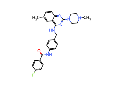 Cc1ccc2nc(N3CCN(C)CC3)nc(NCc3ccc(NC(=O)c4ccc(F)cc4)cc3)c2c1